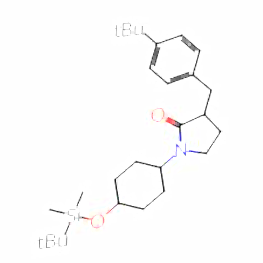 CC(C)(C)c1ccc(CC2CCN(C3CCC(O[Si](C)(C)C(C)(C)C)CC3)C2=O)cc1